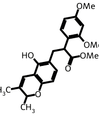 COC(=O)C(Cc1ccc2c(c1O)C=C(C)C(C)O2)c1ccc(OC)cc1OC